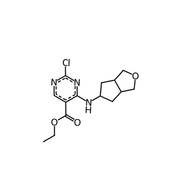 CCOC(=O)c1cnc(Cl)nc1NC1CC2COCC2C1